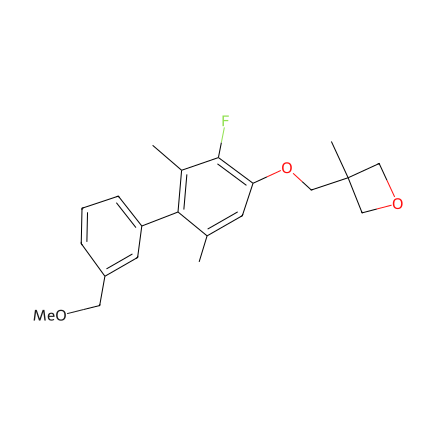 COCc1cccc(-c2c(C)cc(OCC3(C)COC3)c(F)c2C)c1